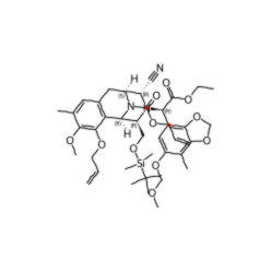 C=CCOC(=O)N1[C@@H]2c3c(cc(C)c(OC)c3OCC=C)C[C@H]1[C@H](C#N)N([C@@H](C(=O)OCC)c1cc(OCOC)c(C)c3c1OCO3)[C@H]2CO[Si](C)(C)C(C)(C)C